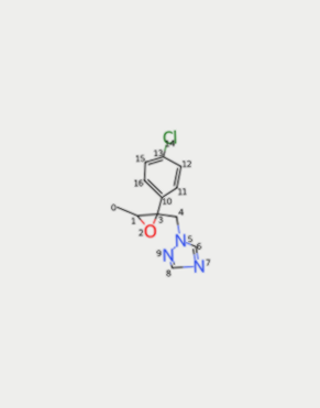 CC1OC1(Cn1cncn1)c1ccc(Cl)cc1